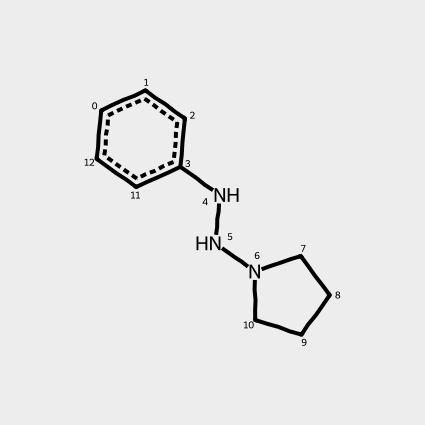 c1ccc(NNN2CCCC2)cc1